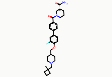 CC1(CN2CCC(COc3ccc(-c4ccc(C(=O)N5CCC[C@@H](C(N)=O)C5)cc4)cc3F)CC2)CCC1